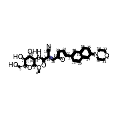 COC1O[C@H](CO)[C@@H](O)[C@H](O)[C@H]1NC(=O)/C(C#N)=C/c1ccc(-c2ccc3cc(N4CCOCC4)ccc3c2)o1